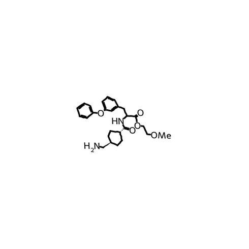 COCCOC(=O)C(Cc1cccc(Oc2ccccc2)c1)NC(=O)[C@H]1CC[C@H](CN)CC1